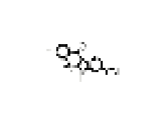 Cc1ccc2c(c1)C(C)(C)c1[nH]c3cc(C#N)ccc3c1C2=O